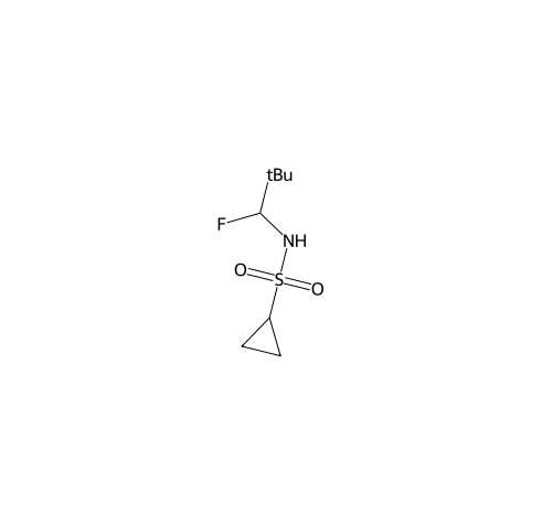 CC(C)(C)C(F)NS(=O)(=O)C1CC1